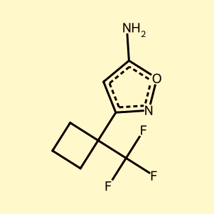 Nc1cc(C2(C(F)(F)F)CCC2)no1